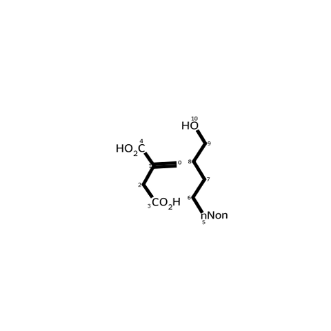 C=C(CC(=O)O)C(=O)O.CCCCCCCCCCCCCO